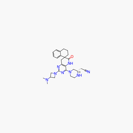 CN(C)C1CN(c2nc3c(c(N4CCN[C@@H](CC#N)C4)n2)NC(=O)C2(CCCc4ccccc42)C3)C1